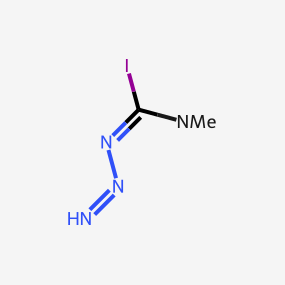 CN/C(I)=N\N=N